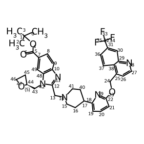 CC(C)(C)OC(=O)c1ccc2nc(CN3CCC(c4cccc(OCc5ccnc6cc(C(F)(F)F)ccc56)n4)CC3)n(C[C@@H]3CCO3)c2c1